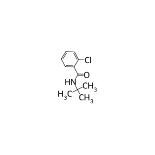 CC(C)(C)NC(=O)c1ccccc1Cl